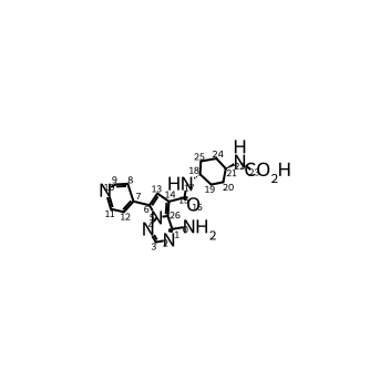 Nc1ncnn2c(-c3ccncc3)cc(C(=O)N[C@H]3CC[C@H](NC(=O)O)CC3)c12